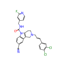 N#Cc1ccc2c(c1)c1c(n2C(=O)NCc2ccnc(F)c2)CCN(C/C=C/c2ccc(Cl)c(Cl)c2)C1